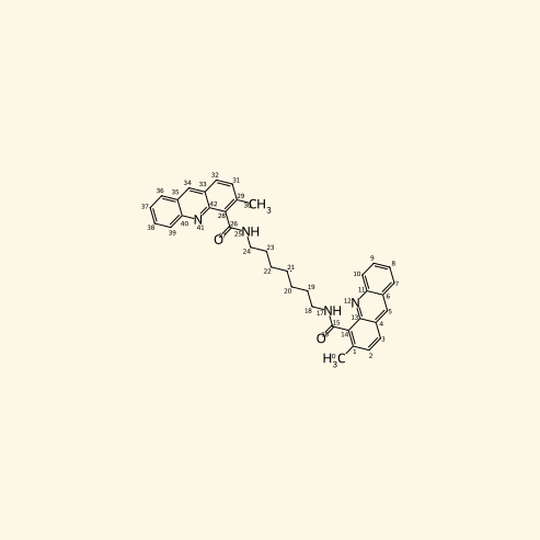 Cc1ccc2cc3ccccc3nc2c1C(=O)NCCC[CH]CCCNC(=O)c1c(C)ccc2cc3ccccc3nc12